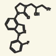 CC(C)CC(O)CN1CCN(c2cccc3c2cnn3-c2ccccc2F)C1=O